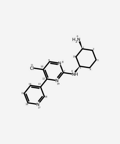 N[C@H]1CCC[C@@H](Nc2ncc(Cl)c(-c3cccnc3)n2)C1